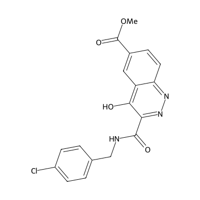 COC(=O)c1ccc2nnc(C(=O)NCc3ccc(Cl)cc3)c(O)c2c1